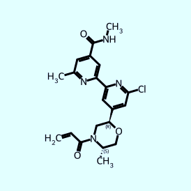 C=CC(=O)N1C[C@@H](c2cc(Cl)nc(-c3cc(C(=O)NC)cc(C)n3)c2)OC[C@@H]1C